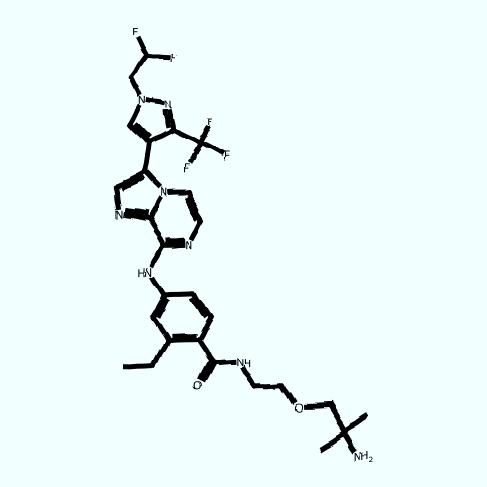 CCc1cc(Nc2nccn3c(-c4cn(CC(F)F)nc4C(F)(F)F)cnc23)ccc1C(=O)NCCOCC(C)(C)N